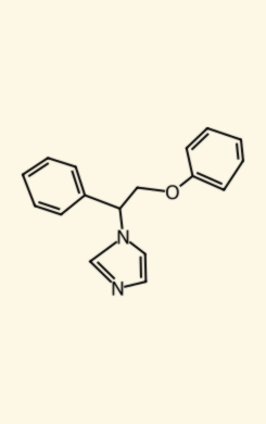 c1ccc(OCC(c2ccccc2)n2ccnc2)cc1